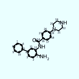 Nc1ccc(-c2ccccc2)cc1NC(=O)c1ccc(N2CCNCC2)cc1